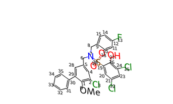 COc1c(Cl)cc(CN(Cc2ccc(F)cc2)S(=O)(=O)c2cc(Cl)cc(Cl)c2O)cc1-c1ccccc1